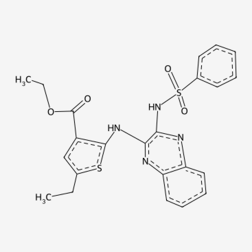 CCOC(=O)c1cc(CC)sc1Nc1nc2ccccc2nc1NS(=O)(=O)c1ccccc1